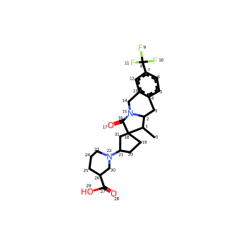 CC1C2Cc3ccc(C(F)(F)F)cc3CN2C(=O)C12CCC(N1CCCC(C(=O)O)C1)C2